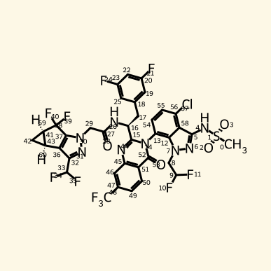 CS(=O)(=O)Nc1nn(CC(F)F)c2c(-n3c([C@H](Cc4cc(F)cc(F)c4)NC(=O)Cn4nc(C(F)F)c5c4C(F)(F)[C@@H]4C[C@H]54)nc4cc(C(F)(F)F)ccc4c3=O)ccc(Cl)c12